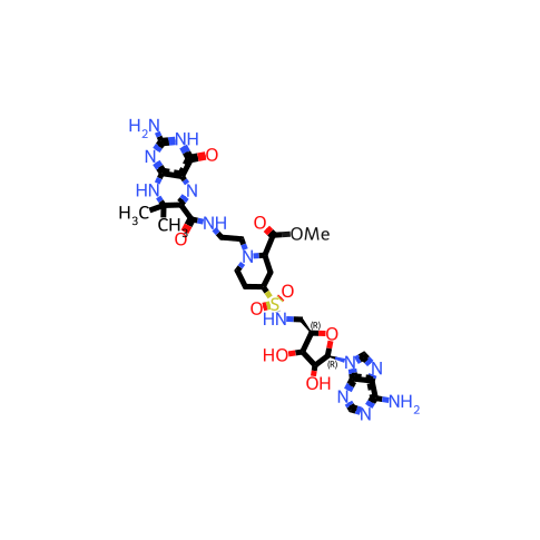 COC(=O)C1CC(S(=O)(=O)NC[C@H]2O[C@@H](n3cnc4c(N)ncnc43)C(O)C2O)CCN1CCNC(=O)C1=Nc2c(nc(N)[nH]c2=O)NC1(C)C